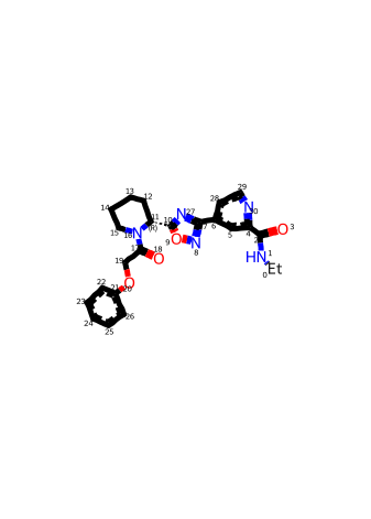 CCNC(=O)c1cc(-c2noc([C@H]3CCCCN3C(=O)COc3ccccc3)n2)ccn1